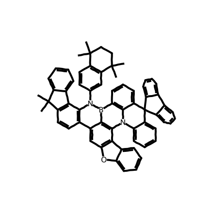 CC1(C)CCC(C)(C)c2cc(N3B4c5cccc6c5N(c5ccccc5C65c6ccccc6-c6ccccc65)c5c4c(cc4oc6ccccc6c54)-c4ccc5c(c43)-c3ccccc3C5(C)C)ccc21